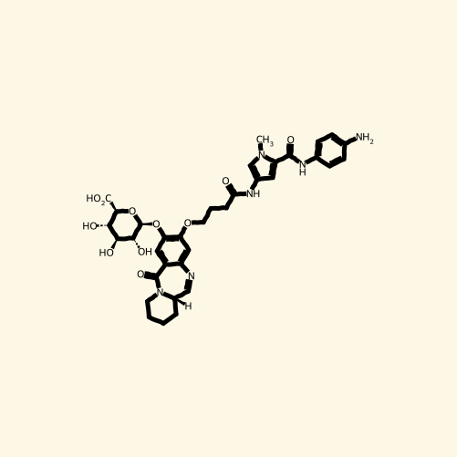 Cn1cc(NC(=O)CCCOc2cc3c(cc2O[C@@H]2O[C@H](C(=O)O)[C@@H](O)[C@H](O)[C@H]2O)C(=O)N2CCCC[C@H]2C=N3)cc1C(=O)Nc1ccc(N)cc1